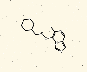 Cc1ccc2cncn2c1OSCC1CCCCC1